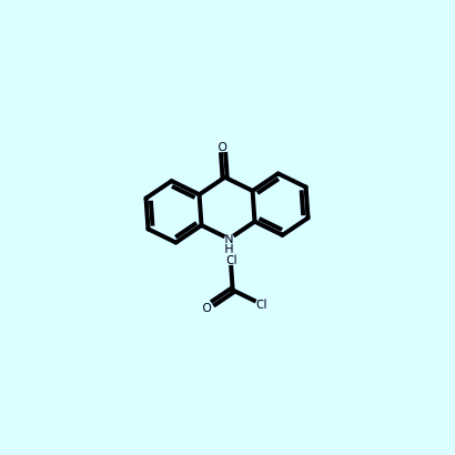 O=C(Cl)Cl.O=c1c2ccccc2[nH]c2ccccc12